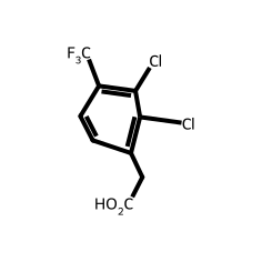 O=C(O)Cc1ccc(C(F)(F)F)c(Cl)c1Cl